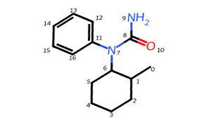 CC1CCCCC1N(C(N)=O)c1ccccc1